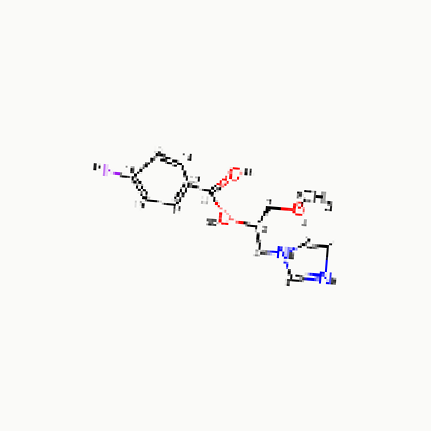 COC[C@@H](Cn1ccnc1)OC(=O)c1ccc(I)cc1